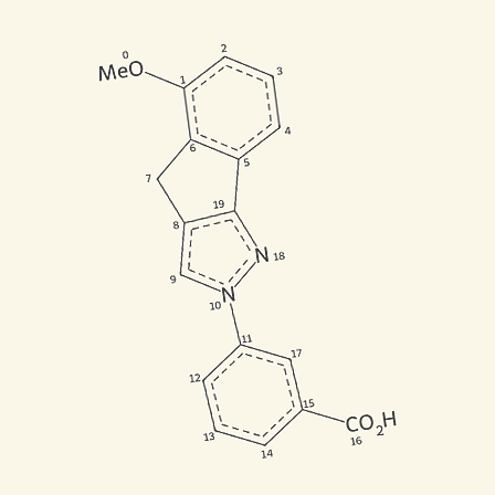 COc1cccc2c1Cc1cn(-c3cccc(C(=O)O)c3)nc1-2